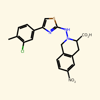 Cc1ccc(-c2csc(NN3Cc4ccc([N+](=O)[O-])cc4CC3C(=O)O)n2)cc1Cl